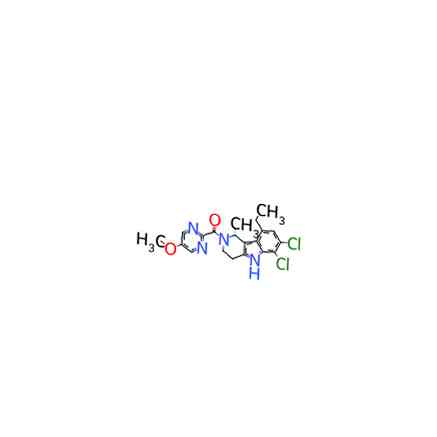 CCc1cc(Cl)c(Cl)c2[nH]c3c(c12)[C@@H](C)N(C(=O)c1ncc(OC)cn1)CC3